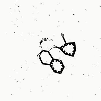 CNC[C@H]1OCc2ccccc2[C@H]1Oc1ccccc1Br